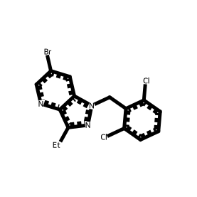 CCc1nn(Cc2c(Cl)cccc2Cl)c2cc(Br)cnc12